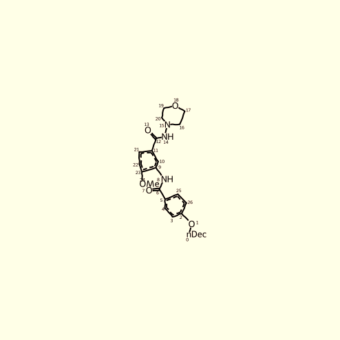 CCCCCCCCCCOc1ccc(C(=O)Nc2cc(C(=O)NN3CCOCC3)ccc2OC)cc1